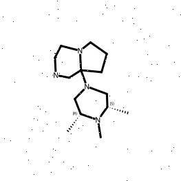 C[C@@H]1CN(C23CCCN2CC[N]C3)C[C@H](C)N1C